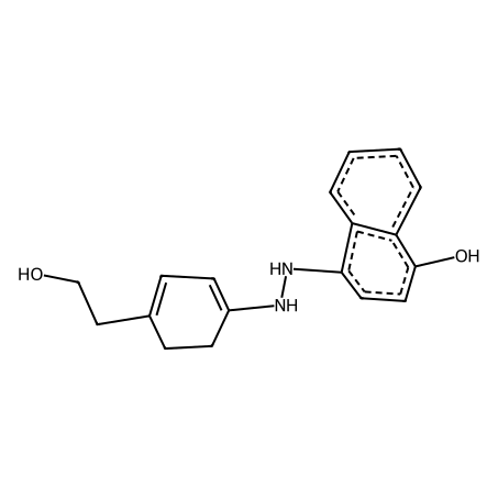 OCCC1=CC=C(NNc2ccc(O)c3ccccc23)CC1